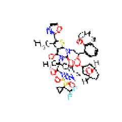 COc1ccccc1[C@H](Cn1c(=O)n(C(C)(C)C(=O)NS(=O)(=O)C2(C(F)F)CC2)c(=O)c2c(C)c(-c3ncco3)sc21)O[C@@H]1C[C@H]2CC[C@@H](C1)O2